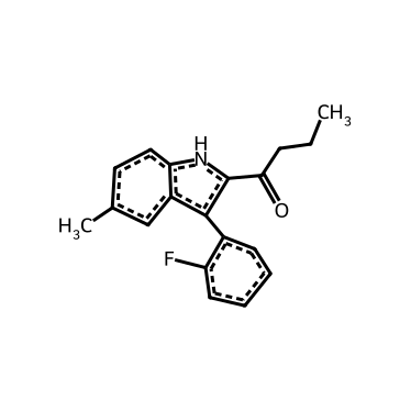 CCCC(=O)c1[nH]c2ccc(C)cc2c1-c1ccccc1F